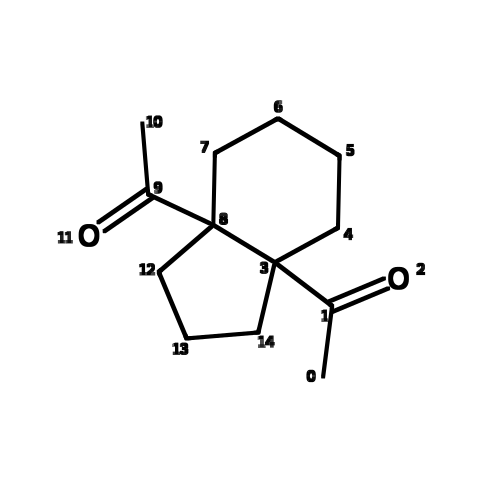 CC(=O)C12CCCCC1(C(C)=O)CCC2